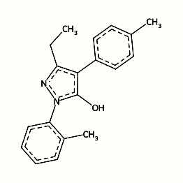 CCc1nn(-c2ccccc2C)c(O)c1-c1ccc(C)cc1